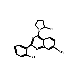 CCC1CCCN1c1nc(-c2ccccc2O)nc2cc(C)ccc12